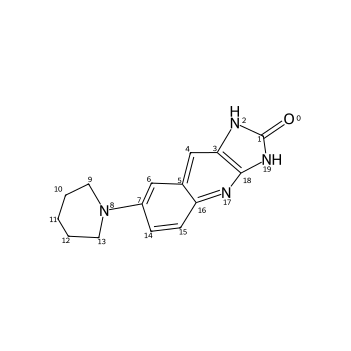 O=c1[nH]c2cc3cc(N4CCCCC4)ccc3nc2[nH]1